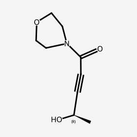 C[C@@H](O)C#CC(=O)N1CCOCC1